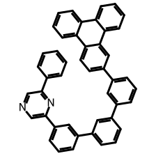 c1ccc(-c2cncc(-c3cccc(-c4cccc(-c5cccc(-c6ccc7c8ccccc8c8ccccc8c7c6)c5)c4)c3)n2)cc1